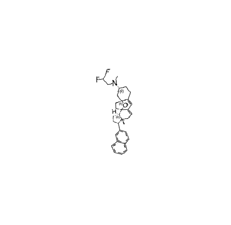 CN(CC(F)F)[C@@H]1CCC2=CC3=CC[C@]4(C)C(c5ccc6ccccc6c5)CC[C@H]4C34CC[C@]2(C1)O4